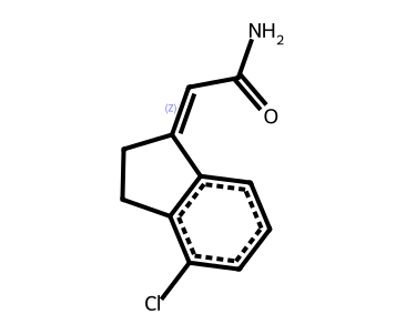 NC(=O)/C=C1/CCc2c(Cl)cccc21